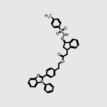 Cc1ccc(S(=O)(=O)N/N=C2/CC(CC(=O)OCCc3ccc(-c4nc5ccccc5n4-c4ccccc4)cc3)c3ccccc32)cc1